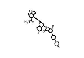 CN1CCN(c2ccc(-c3cc(F)c4c(c3)C(=O)N(C(CC#CC#Cc3c(C(N)=O)cnc5[nH]ccc35)c3cc(F)ccc3F)C4)cc2)CC1